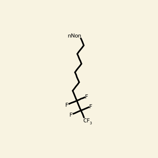 [CH2]CCCCCCCCCCCCCCC(F)(F)C(F)(F)C(F)(F)F